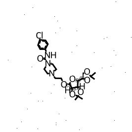 CC1(C)O[C@@H]2[C@H](O1)[C@@H](OCCN1CCN(C(=O)Nc3ccc(Cl)cc3)CC1)O[C@@H]2[C@H]1COC(C)(C)O1